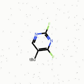 CC(C)(C)c1cnc(F)nc1F